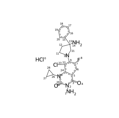 Cl.Nn1c(=O)c2cc(F)c(N3CCC(N)(c4ccccc4)C3)c(Cl)c2n(C2CC2)c1=O